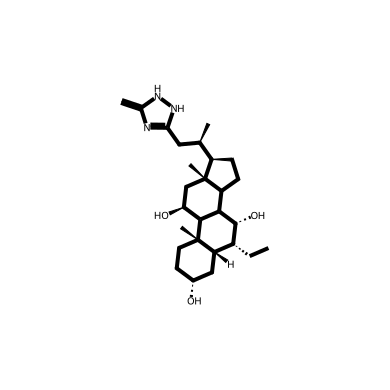 C=C1N=C(C[C@@H](C)[C@H]2CCC3C4C([C@@H](O)C[C@@]32C)[C@@]2(C)CC[C@@H](O)C[C@H]2[C@@H](CC)[C@H]4O)NN1